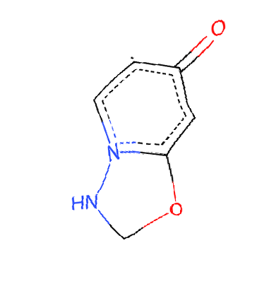 O=c1[c]cn2c(c1)OCN2